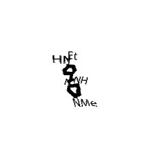 CCNc1ccc(-c2nc3cc(NC)ccc3[nH]2)cc1